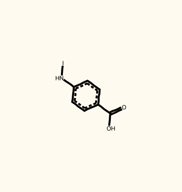 O=C(O)c1ccc(NI)cc1